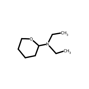 CCN(CC)[C]1CCCCO1